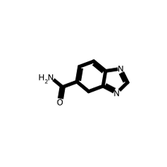 NC(=O)C1=CC=C2N=CN=C2C1